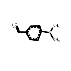 C=Cc1ccc(N([SiH3])[SiH3])cc1